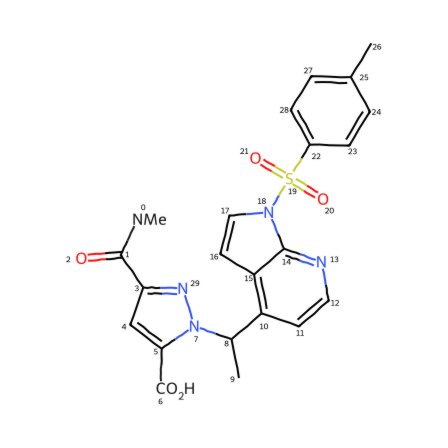 CNC(=O)c1cc(C(=O)O)n(C(C)c2ccnc3c2ccn3S(=O)(=O)c2ccc(C)cc2)n1